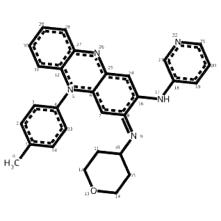 Cc1ccc(-n2c3c/c(=N\C4CCOCC4)c(Nc4cccnc4)cc-3nc3ccccc32)cc1